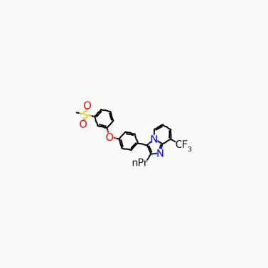 CCCc1nc2c(C(F)(F)F)cccn2c1-c1ccc(Oc2cccc(S(C)(=O)=O)c2)cc1